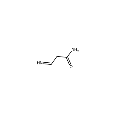 N=CCC(N)=O